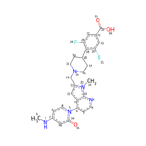 CNc1ccn(-c2ccnc3c2cc(CN2CCC(c4c(F)cc(C(=O)O)cc4F)CC2)n3C)c(=O)c1